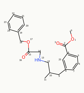 COC(=O)c1cccc(CC(C)CNCC(=O)OCc2ccccc2)c1